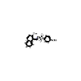 O=S(=O)(/N=C/c1c(O)ccc2ccccc12)c1ccc(O)cc1